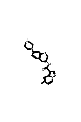 Cc1ccn2ncc(C(=O)N[C@H]3COc4cc(N5CCNCC5)ccc4C3)c2c1